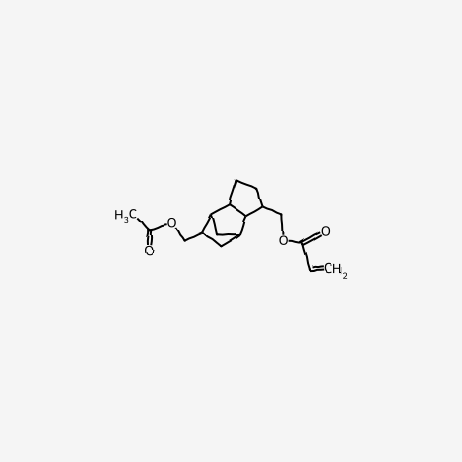 C=CC(=O)OCC1CCC2C3CC(CC3COC(C)=O)C12